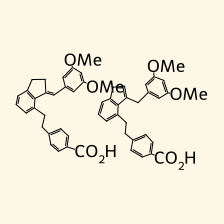 COc1cc(C=C2CCc3cccc(CCc4ccc(C(=O)O)cc4)c32)cc(OC)c1.COc1cc(CC2=CCc3cccc(CCc4ccc(C(=O)O)cc4)c32)cc(OC)c1